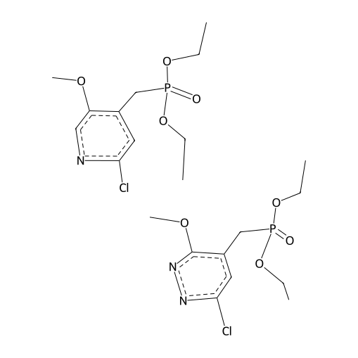 CCOP(=O)(Cc1cc(Cl)ncc1OC)OCC.CCOP(=O)(Cc1cc(Cl)nnc1OC)OCC